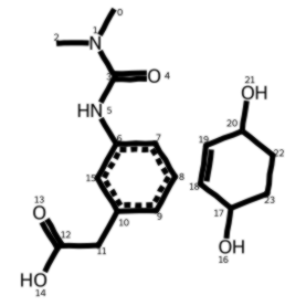 CN(C)C(=O)Nc1cccc(CC(=O)O)c1.OC1C=CC(O)CC1